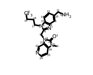 Cn1c(=O)n(Cc2nc3cc(CN)ccc3n2CCCC(F)(F)F)c2cnccc21